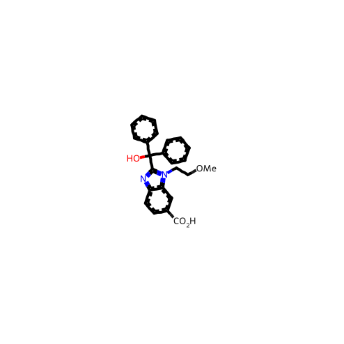 COCCn1c(C(O)(c2ccccc2)c2ccccc2)nc2ccc(C(=O)O)cc21